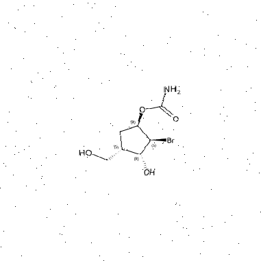 NC(=O)O[C@@H]1C[C@@H](CO)[C@@H](O)[C@@H]1Br